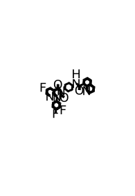 O=C(N[C@H]1CC[C@@H](n2c(=O)c3cc(F)cnc3n(-c3ccc(F)c(F)c3)c2=O)CC1)c1cccc2cccnc12